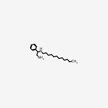 CCCCCCCCCCCCNC(CN)c1ccccc1